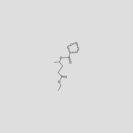 CCOC(=O)CCC(C)OC(=O)c1ccccc1